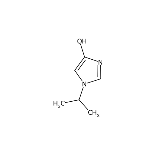 CC(C)n1cnc(O)c1